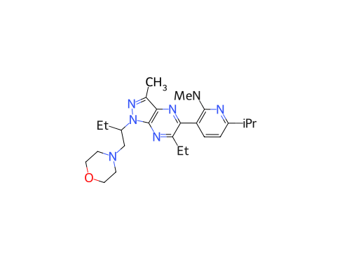 CCc1nc2c(nc1-c1ccc(C(C)C)nc1NC)c(C)nn2C(CC)CN1CCOCC1